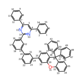 c1ccc(-c2cc(-c3ccccc3)nc(-c3cccc(-c4cccc(-c5ccc6c(c5)Oc5ccccc5C6(c5ccccc5)c5ccccc5)c4)c3)n2)cc1